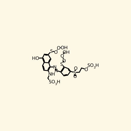 O=S(=O)(O)CNc1ccc2c(O)cc(SOOO)cc2c1N=Nc1ccc(S(=O)(=O)CCOS(=O)(=O)O)cc1SOOO